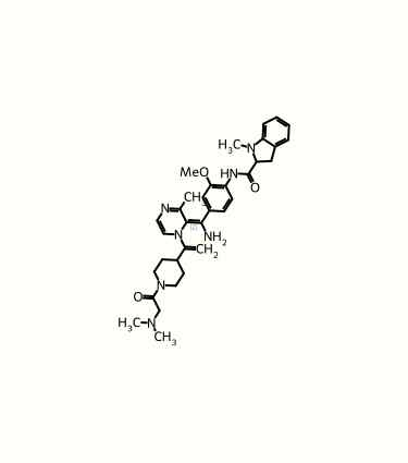 C=C(C1CCN(C(=O)CN(C)C)CC1)N1C=CN=C(C)/C1=C(/N)c1ccc(NC(=O)C2Cc3ccccc3N2C)c(OC)c1